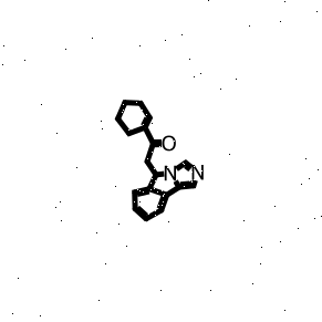 O=C(CC1c2ccccc2-c2cncn21)C1=CCCCC1